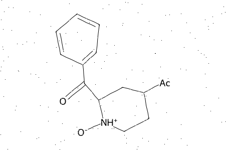 CC(=O)C1CC[NH+]([O-])C(C(=O)c2ccccc2)C1